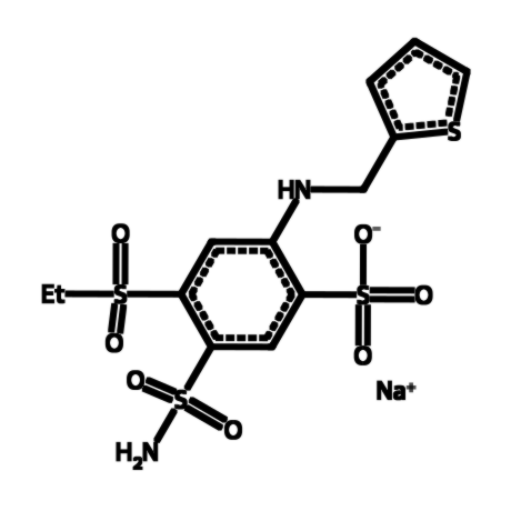 CCS(=O)(=O)c1cc(NCc2cccs2)c(S(=O)(=O)[O-])cc1S(N)(=O)=O.[Na+]